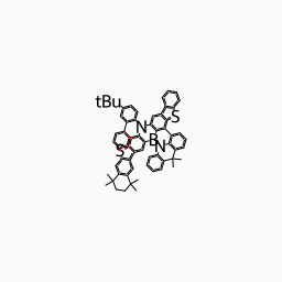 CC(C)(C)c1ccc(N2c3cc4sc5cc6c(cc5c4cc3B3c4c2cc2c(sc5ccccc52)c4-c2cccc4c2N3c2ccccc2C4(C)C)C(C)(C)CCC6(C)C)c(-c2ccccc2)c1